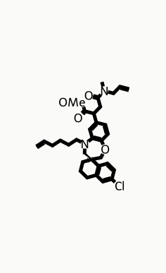 C=CCCCCN1C[C@@]2(CCCc3cc(Cl)ccc32)COc2ccc(C(CC(=O)N(C)CC=C)C(=O)OC)cc21